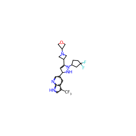 FC1(F)CCC(N2NC(c3cnc4[nH]cc(C(F)(F)F)c4c3)C=C2C2CN(C3COC3)C2)C1